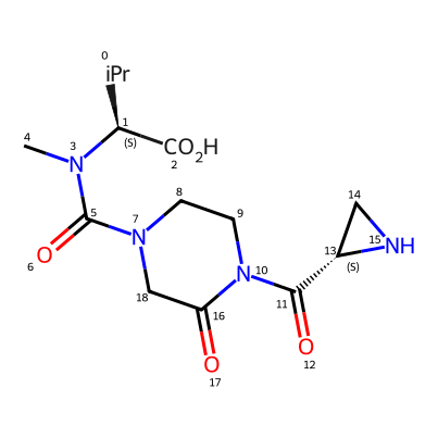 CC(C)[C@@H](C(=O)O)N(C)C(=O)N1CCN(C(=O)[C@@H]2CN2)C(=O)C1